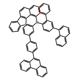 c1ccc(-c2cc(-c3cccc4ccccc34)ccc2N(c2cccc(-c3ccc(-c4cc5ccccc5c5ccccc45)cc3)c2)c2cccc3ccc4c5ccccc5sc4c23)cc1